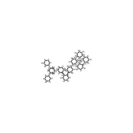 c1ccc(-c2nc(-c3ccccc3)nc(-c3ccc4c5cc(-c6ccc7c(c6)C6(c8ccccc8-c8ccccc86)c6ccccc6-7)ccc5c5ccccc5c4c3)n2)cc1